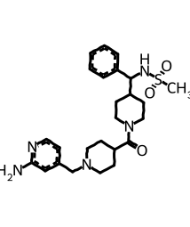 CS(=O)(=O)NC(c1ccccc1)C1CCN(C(=O)C2CCN(Cc3ccnc(N)c3)CC2)CC1